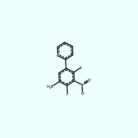 Bc1cc(-c2ccccn2)c(I)c([N+](=O)[O-])c1F